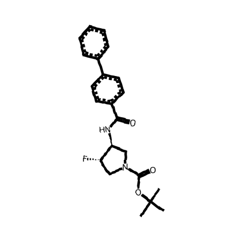 CC(C)(C)OC(=O)N1C[C@H](NC(=O)c2ccc(-c3ccccc3)cc2)[C@@H](F)C1